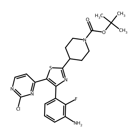 CC(C)(C)OC(=O)N1CCC(c2nc(-c3cccc(N)c3F)c(-c3ccnc(Cl)n3)s2)CC1